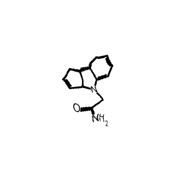 NC(=O)CN1C2=CC=CCC2C2CC=CC21